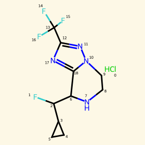 Cl.FC(C1CC1)C1NCCn2nc(C(F)(F)F)nc21